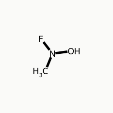 CN(O)F